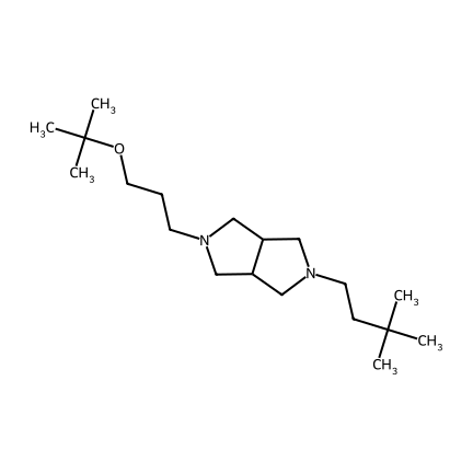 CC(C)(C)CCN1CC2CN(CCCOC(C)(C)C)CC2C1